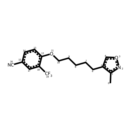 Cc1nocc1CCCCCOc1ccc(C#N)cc1C(F)(F)F